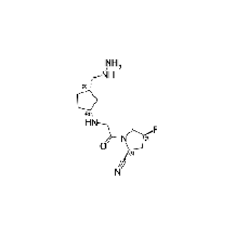 N#C[C@@H]1C[C@H](F)CN1C(=O)CN[C@@H]1CC[C@H](CNN)C1